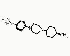 C=C1CCC(N2CCN(c3ccc(NN)cc3)CC2)CC1